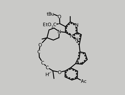 CCOC(=O)[C@@H](OC(C)(C)C)c1c(C)nc2cc3nn2c1N1CCC(C)(CC1)OCCCC[C@H](C)Oc1ccc(C(C)=O)cc1-c1cccc-3c1